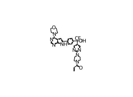 C=CC(=O)N1CCN(c2ncc(C(O)(c3ccc(-c4cc5c(N6CCOCC6)ncnc5[nH]4)cc3)C(F)(F)F)cn2)CC1